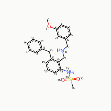 COc1cccc(CNCc2c(Cc3ccccc3)cccc2NS(C)(=O)=O)c1